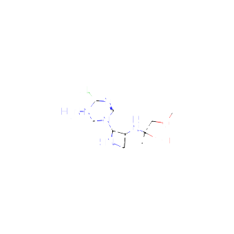 COCC(C)(O)NC1CNC1N1C=N[C@H](Cl)N(N)C1